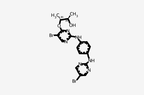 C[C@@H](O)[C@@H](C)Oc1nc(Nc2ccc(Nc3ncc(Br)cn3)cc2)ncc1Br